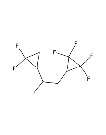 C[C](CC1C(F)(F)C1(F)F)C1CC1(F)F